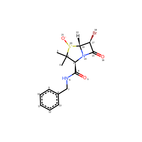 CC1(C)[C@H](C(=O)NCc2ccccc2)N2C(=O)[C@H](Br)[C@H]2[S+]1[O-]